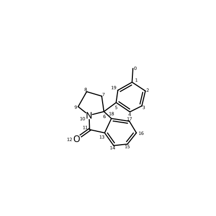 Cc1cccc(C23CCCN2C(=O)c2ccccc23)c1